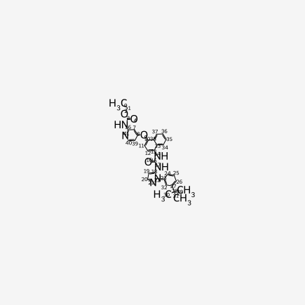 CCOC(=O)Nc1cc(Oc2ccc(NC(=O)Nc3ccnn3-c3cccc(C(C)(C)C)c3)c3ccccc23)ccn1